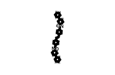 C(=Cc1ccc(-c2nc3ccc(-c4ccccc4)cc3o2)cc1)c1ccc(-c2nc3ccc(-c4ccccc4)cc3o2)cc1